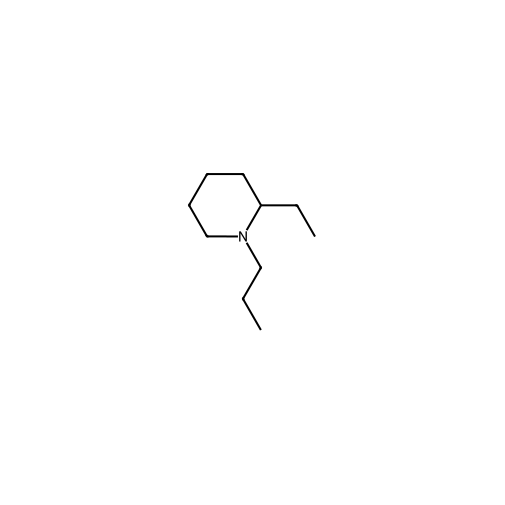 CCCN1CCCCC1CC